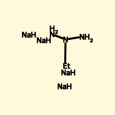 CCN(N)N.[NaH].[NaH].[NaH].[NaH]